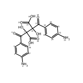 Nc1ccc(C(=O)C(O)(C(=O)O)C(O)(C(=O)O)C(=O)c2ccc(N)cc2)cc1